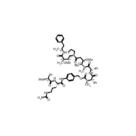 CC[C@H](C)[C@@H]([C@@H](CC(=O)N1CCC[C@H]1[C@H](OC)[C@@H](C)C(=O)N[C@H](C)Cc1ccccc1)OC)N(C)C(=O)[C@@H](NC(=O)[C@H](C(C)C)N(C)C(=O)OCc1ccc(NC(=O)[C@H](CCCNC(N)=O)NC(=O)[C@@H](NC)C(C)C)cc1)C(C)C